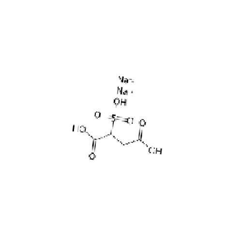 O=C(O)CC(C(=O)O)S(=O)(=O)O.[Na-].[Na-]